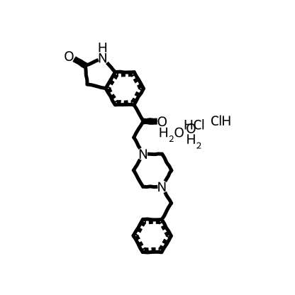 Cl.Cl.O.O.O=C1Cc2cc(C(=O)CN3CCN(Cc4ccccc4)CC3)ccc2N1